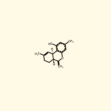 C=C1Oc2cc(C)cc(O)c2[C@@H]2C=C(C)CC[C@@H]12